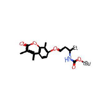 CCC(CCOc1ccc2c(C)c(C)c(=O)oc2c1C)NC(=O)OC(C)(C)C